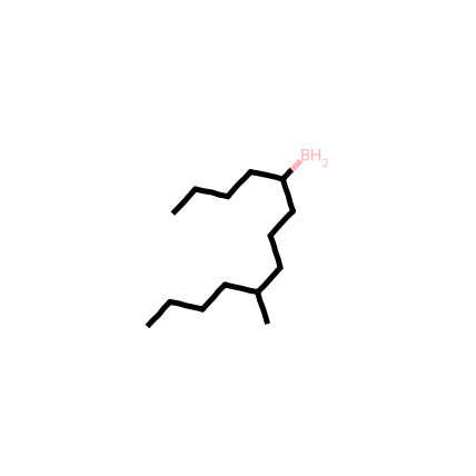 BC(CCCC)CCCC(C)CCCC